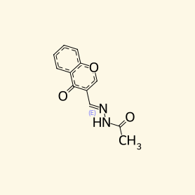 CC(=O)N/N=C/c1coc2ccccc2c1=O